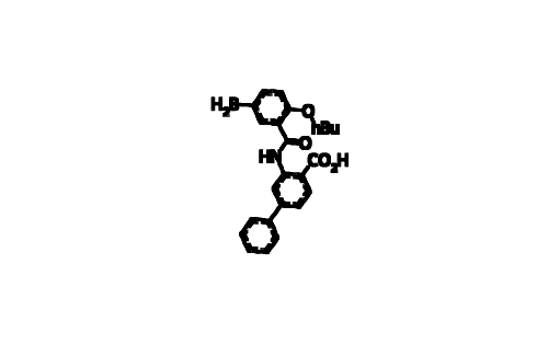 Bc1ccc(OCCCC)c(C(=O)Nc2cc(-c3ccccc3)ccc2C(=O)O)c1